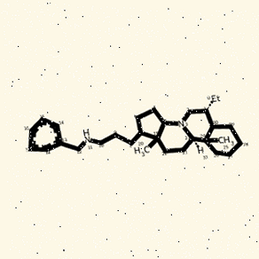 CC[C@H]1CN2C3CCC(CCCNCc4ccccc4)C3(C)CC[C@@H]2C2(C)CCCCC12